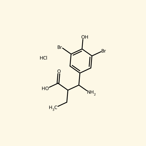 CCC(C(=O)O)C(N)c1cc(Br)c(O)c(Br)c1.Cl